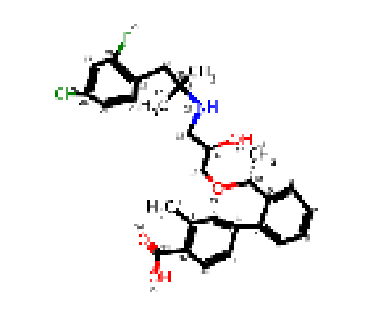 Cc1cc(-c2ccccc2[C@@H](C)OC[C@H](O)CNC(C)(C)Cc2ccc(Cl)cc2F)ccc1C(=O)O